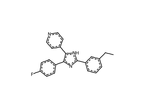 CCc1cccc(-c2nc(-c3ccc(F)cc3)c(-c3ccncc3)[nH]2)c1